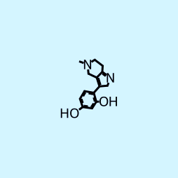 CN1CCC2=NCC(c3ccc(O)cc3O)=C2C1